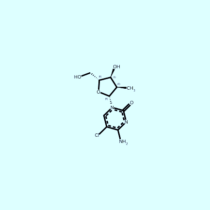 C[C@@H]1[C@H](O)[C@@H](CO)O[C@H]1n1cc(Cl)c(N)nc1=O